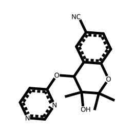 CC1(C)Oc2ccc(C#N)cc2C(Oc2ccncn2)C1(C)O